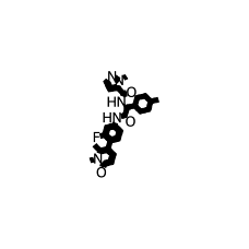 Cc1c(-c2ccc(NC(=O)[C@@H](NC(=O)c3ccnn3C)C3CCC(C)CC3)cc2F)ccc(=O)n1C